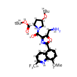 COc1ccc(-c2nc(C(=O)N3C[C@H](OC(C)(C)C)C[C@H]3C(=O)OC(C)(C)C)c(CN)o2)c2ccc(C(F)(F)F)nc12